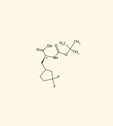 CC(C)(C)OC(=O)N[C@@H](CC1CCC(F)(F)C1)C(=O)O